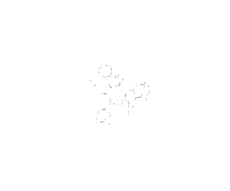 Nc1cccn2nc(-c3c[nH]c4ncncc34)c(C(=O)Nc3cccnc3)c12